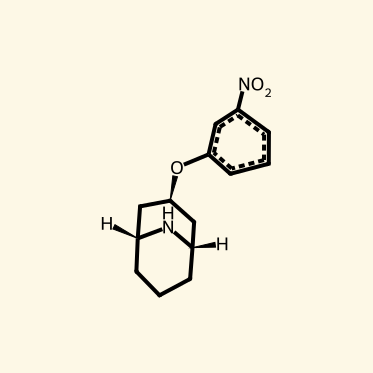 O=[N+]([O-])c1cccc(O[C@@H]2C[C@H]3CCC[C@@H](C2)N3)c1